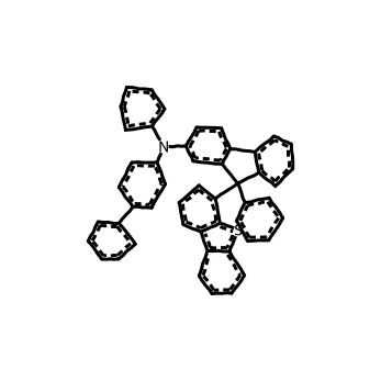 c1ccc(-c2ccc(N(c3ccccc3)c3ccc4c(c3)C(c3ccccc3)(c3cccc5c3sc3ccccc35)c3ccccc3-4)cc2)cc1